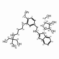 CCCOc1ccc(CNc2nc3ccccc3n2[C@@H]2O[C@H](CO)[C@@H](O)[C@H]2O)cc1OCCCNC(CO)(CO)CO